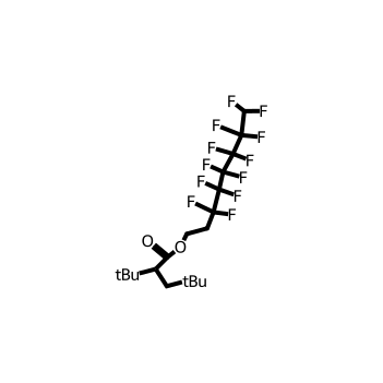 CC(C)(C)CC(C(=O)OCCC(F)(F)C(F)(F)C(F)(F)C(F)(F)C(F)(F)C(F)F)C(C)(C)C